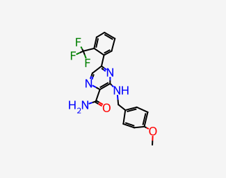 COc1ccc(CNc2nc(-c3ccccc3C(F)(F)F)cnc2C(N)=O)cc1